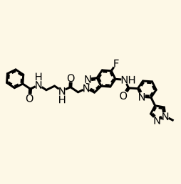 Cn1cc(-c2cccc(C(=O)Nc3cc4cn(CC(=O)NCCNC(=O)c5ccccc5)nc4cc3F)n2)cn1